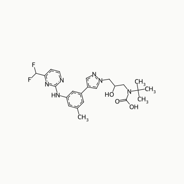 Cc1cc(Nc2nccc(C(F)F)n2)cc(-c2cnn(CC(O)CN(C(=O)O)C(C)(C)C)c2)c1